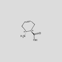 N[C@@H]1CC=CC[C@H]1C(=O)O